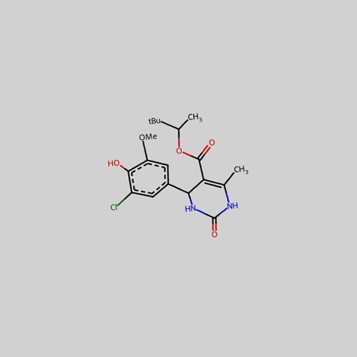 COc1cc(C2NC(=O)NC(C)=C2C(=O)OC(C)C(C)(C)C)cc(Cl)c1O